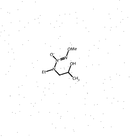 CCN(CC(C)O)[N+]([O-])=NOC